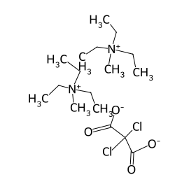 CC[N+](C)(CC)CC.CC[N+](C)(CC)CC.O=C([O-])C(Cl)(Cl)C(=O)[O-]